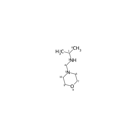 CC(C)NCN1CCOCC1